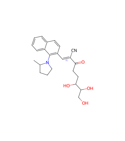 CC1CCCN1c1c(/C=C(\C#N)C(=O)CCC(O)C(O)CO)ccc2ccccc12